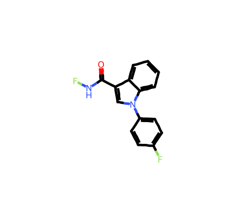 O=C(NF)c1cn(-c2ccc(F)cc2)c2ccccc12